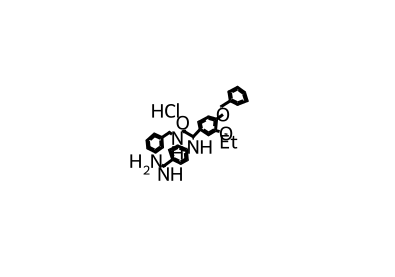 CCOc1cc([C@H](Nc2ccc(C(=N)N)cc2)C(=O)NCc2ccccc2)ccc1OCc1ccccc1.Cl